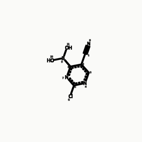 N#Cc1cnc(Cl)nc1B(O)O